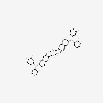 Cc1ccccc1N(c1cc(C)c(C)c(C)c1)c1ccc2cc3c(cc2c1)oc1cc2c(cc13)oc1cc3cc(N(c4cc(C)c(C)c(C)c4)c4c(C)cccc4C)ccc3cc12